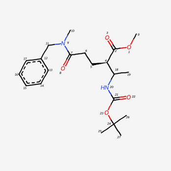 COC(=O)[C@H](CCC(=O)N(C)Cc1ccccc1)C(C)NC(=O)OC(C)(C)C